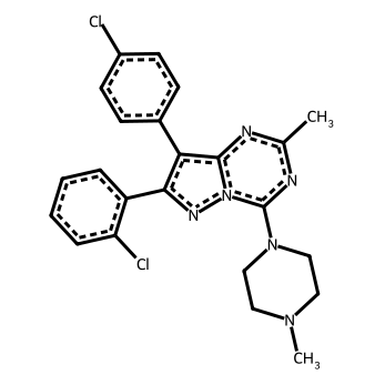 Cc1nc(N2CCN(C)CC2)n2nc(-c3ccccc3Cl)c(-c3ccc(Cl)cc3)c2n1